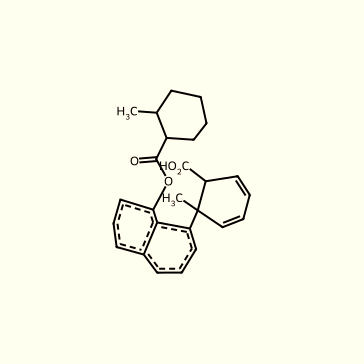 CC1CCCCC1C(=O)Oc1cccc2cccc(C3(C)C=CC=CC3C(=O)O)c12